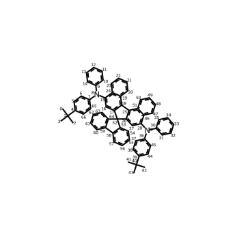 CC(C)(C)c1ccc(N(c2ccccc2)c2cc3c(c4ccccc24)-c2c(cc(N(c4ccccc4)c4ccc(C(C)(C)C)cc4)c4ccccc24)C32c3ccccc3-c3ccccc32)cc1